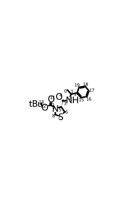 CC(NC(=O)[C@@H]1CSCN1C(=O)OC(C)(C)C)c1ccccc1